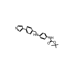 CC(C)(C)OC(=O)Nc1ccc(NCc2ccc(-c3ccncc3)cc2)cc1